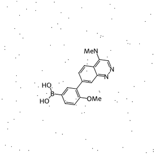 CNc1cnnc2cc(-c3cc(B(O)O)ccc3OC)ccc12